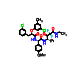 COc1ccc([C@H](NC(=O)C(Cc2cccc(Cl)c2)Oc2cc(C)cc(Cl)c2)C(=O)N[C@H](C(=O)C(F)(F)C(=O)NCC(F)(F)F)C(C)C)cc1